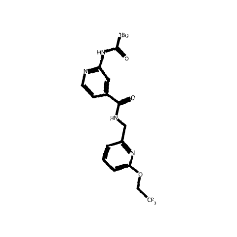 CC(C)(C)C(=O)Nc1cc(C(=O)NCc2cccc(OCC(F)(F)F)n2)ccn1